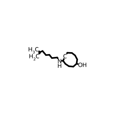 C=C(C)CCCCCNC1CCCCCC(O)CCC1